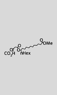 CCCCCCC(CCCCCCCCCCC(=O)OC)OC(=O)CC1OC1C(=O)O